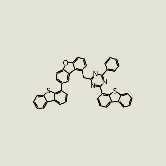 c1ccc(-c2nc(Cc3cccc4oc5ccc(-c6cccc7c6sc6ccccc67)cc5c34)nc(-c3cccc4c3sc3ccccc34)n2)cc1